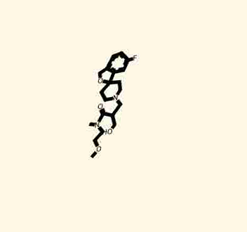 COCCN(C)C(=O)C(CO)CN1CCC2(CC1)OCc1ccc(F)cc12